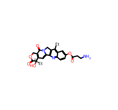 CCc1c2c(nc3ccc(OC(=O)CCN)cc13)-c1cc3c(c(=O)n1C2)COC(=O)[C@]3(O)CC